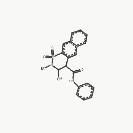 CCN1C(O)C(C(=O)Nc2ccccc2)c2cc3ccccc3cc2S1(=O)=O